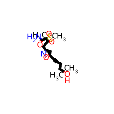 CC(C)(O)CCC#Cc1cc(CC[C@](C)(C(N)=O)S(C)(=O)=O)no1